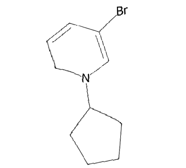 BrC1=CN(C2CCCC2)CC=C1